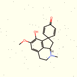 COc1cc2c3c(c1O)C1(C=CC(=O)C=C1)C[C@H]3N(C)CC2